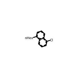 CCCCCCc1cccc2c(Cl)cccc12